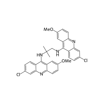 COc1ccc2nc3cc(Cl)ccc3c(NCC(C)(C)Nc3c4ccc(Cl)cc4nc4ccc(OC)cc34)c2c1